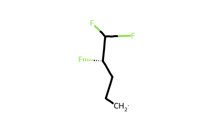 [CH2]CC[C@H](F)C(F)F